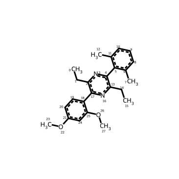 CCc1nc(-c2c(C)cccc2C)c(CC)nc1-c1ccc(OC)cc1OC